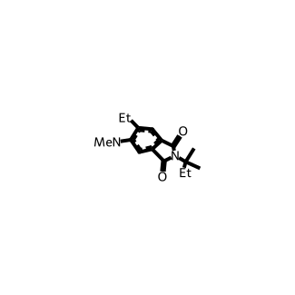 CCc1cc2c(cc1NC)C(=O)N(C(C)(C)CC)C2=O